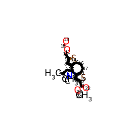 [C-]#[N+]C1(CC(C)C)c2cc(COC=O)sc2CCc2sc(C(=O)OC)cc21